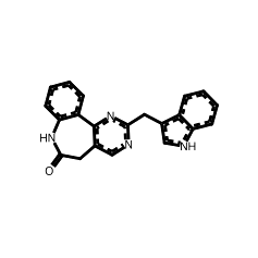 O=C1Cc2cnc(Cc3c[nH]c4ccccc34)nc2-c2ccccc2N1